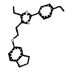 CCc1ccc(-c2nc(CCOc3ccc4c(c3)CCC4)c(CC)o2)cc1